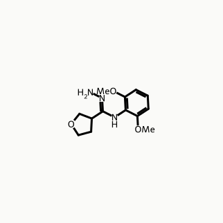 COc1cccc(OC)c1NC(=NN)C1CCOC1